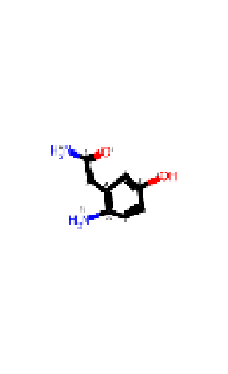 NC(=O)Cc1cc(O)ccc1N